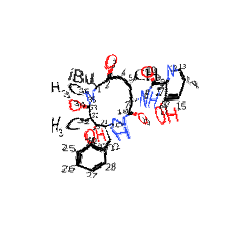 CCC(C)C1C(=O)C[C@H](C)[C@H](NC(=O)c2ncccc2O)C(=O)N[C@@H](Cc2ccccc2)[C@@H](O)[C@@H](C)C(=O)N1C